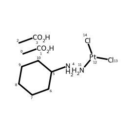 CC(=O)O.CC(=O)O.NC1CCCCC1.[NH2][Pt]([Cl])[Cl]